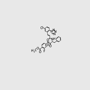 COC(=O)c1ccc(NC(=O)[C@H](Cc2ccccc2)NC(=O)C=Cc2cc(Cl)ccc2-n2cnnn2)cc1F